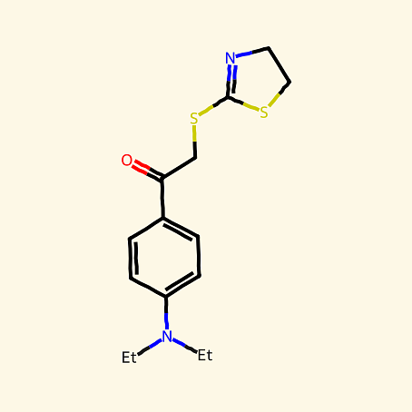 CCN(CC)c1ccc(C(=O)CSC2=NCCS2)cc1